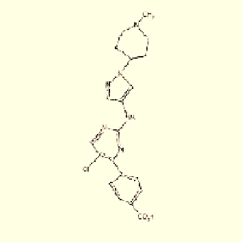 CN1CCC(n2cc(Nc3ncc(Cl)c(-c4ccc(C(=O)O)cc4)n3)cn2)CC1